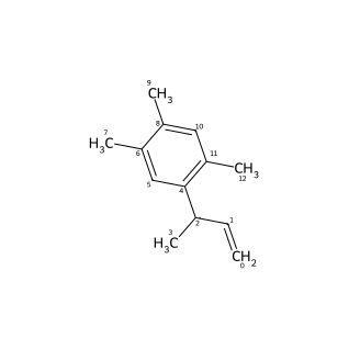 C=C[C](C)c1cc(C)c(C)cc1C